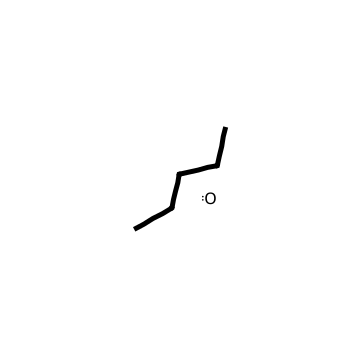 CCCCC.[O]